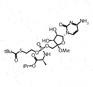 CO[C@]1(COP(=O)(N[C@@H](C)C(=O)OC(C)C)OCCSC(=O)C(C)(C)C)O[C@@H](n2ccc(N)nc2=O)[C@H](O)[C@@H]1O